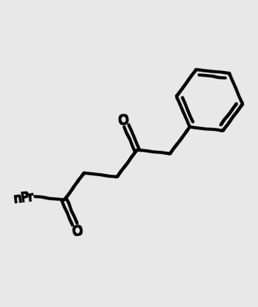 CCCC(=O)CCC(=O)Cc1ccccc1